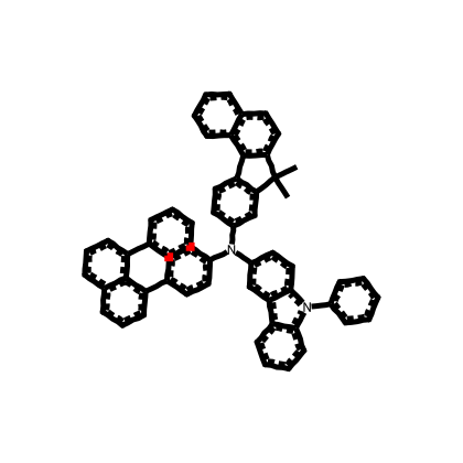 CC1(C)c2cc(N(c3ccc(-c4cccc5cccc(-c6ccccc6)c45)cc3)c3ccc4c(c3)c3ccccc3n4-c3ccccc3)ccc2-c2c1ccc1ccccc21